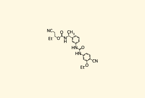 CCOc1cc(NC(=O)Nc2cccc([C@H](C)NC(=O)O[C@H](CC)CC#N)c2)ccc1C#N